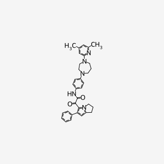 Cc1cc(C)nc(N2CCCN(c3ccc(NC(=O)C(=O)c4c(-c5ccccc5)cc5n4CCC5)cc3)CC2)c1